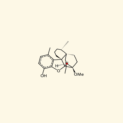 CO[C@]12CC[C@@]3(C[C@@H]1C)[C@@H](C)CCC[C@@]31c3c(C)ccc(O)c3O[C@@H]21